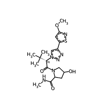 CNC(=O)C1CC(O)CN1C(=O)[C@@H](n1cc(-c2cc(OC)ns2)nn1)C(C)(C)C